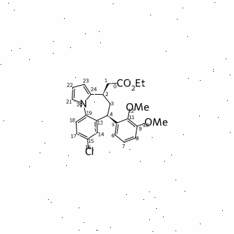 CCOC(=O)C[C@H]1C[C@@H](c2cccc(OC)c2OC)c2cc(Cl)ccc2-n2cccc21